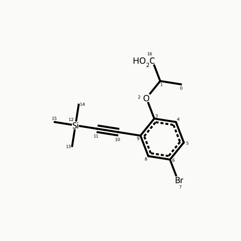 CC(Oc1ccc(Br)cc1C#C[Si](C)(C)C)C(=O)O